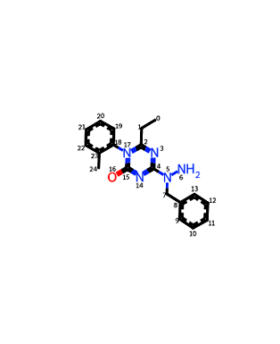 CCc1nc(N(N)Cc2ccccc2)nc(=O)n1-c1ccccc1C